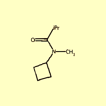 CC(C)C(=O)N(C)C1CCC1